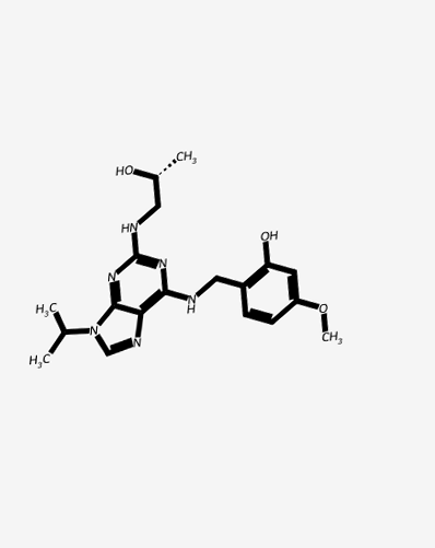 COc1ccc(CNc2nc(NC[C@@H](C)O)nc3c2ncn3C(C)C)c(O)c1